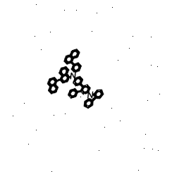 c1ccc(-c2cc(-n3c4ccccc4c4ccccc43)ccc2-c2ccc(N(c3cccc(-c4cccc5ccccc45)c3)c3ccc(-c4cccc5ccccc45)c4ccccc34)cc2)cc1